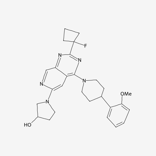 COc1ccccc1C1CCN(c2nc(C3(F)CCC3)nc3cnc(N4CCC(O)C4)cc23)CC1